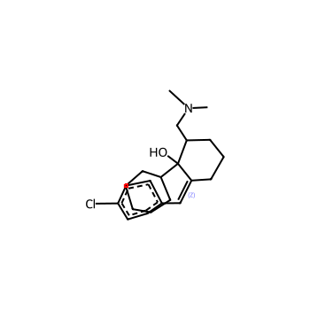 CN(C)CC1CCC/C(=C/c2ccc(Cl)cc2)C1(O)C1CCCCC1